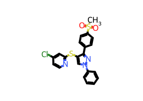 CS(=O)(=O)c1ccc(-c2nn(-c3ccccc3)cc2Sc2cc(Cl)ccn2)cc1